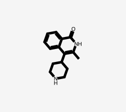 Cc1[nH]c(=O)c2ccccc2c1C1CCNCC1